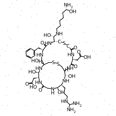 NC(N)NCCC[C@@H]1N[C@@H](O)[C@@H]2CSSC[C@H](N[C@H](O)[C@H](CC(=O)O)NC(=O)CN[C@@H]1O)[C@H](O)N[C@@H](Cc1ccccc1)C(=O)N[C@H]([C@H](O)NCCCCC[C@H](N)O)CSCC(=O)N[C@@H](CC(=O)O)C(=O)N2